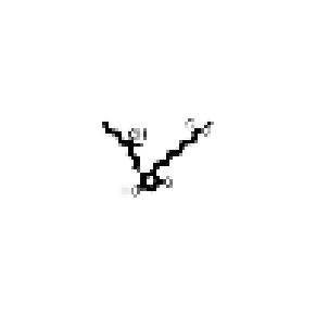 CCCC[C@](C)(O)C/C=C/[C@H]1C(O)CC(=O)C1CCCCCCC(=O)OC